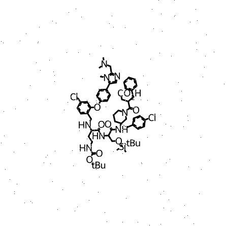 CN(C)Cc1ncc(-c2ccc(Oc3cc(Cl)ccc3CNC(CCNC(=O)OC(C)(C)C)C(=O)NC(CO[Si](C)(C)C(C)(C)C)C(=O)N[C@@]3(Cc4ccc(Cl)cc4)CCCN(C(=O)C(CC(=O)O)Cc4ccccc4)C3)cc2)n1C